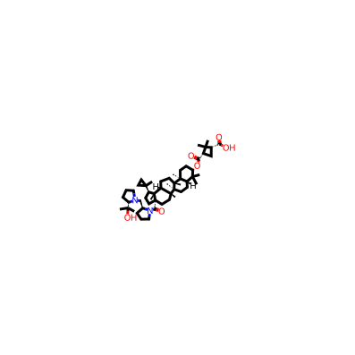 CC(C)(O)[C@@H]1CCCN1C[C@@H]1CCCN1C(=O)[C@]12CC[C@@H](C3(C)CC3)[C@]1(C)[C@H]1CC[C@@]3(C)[C@@](C)(CC[C@H]4C(C)(C)[C@@H](OC(=O)[C@H]5C[C@@H](C(=O)O)C5(C)C)CC[C@@]43C)[C@]1(C)CC2